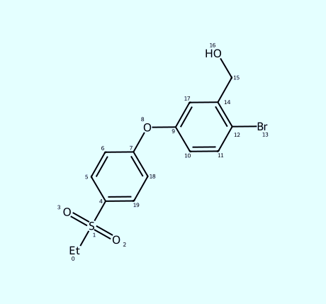 CCS(=O)(=O)c1ccc(Oc2ccc(Br)c(CO)c2)cc1